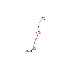 CCCCCCCCC1OC1CCCCCCCCOC(=O)CCCCCCCC1CO1